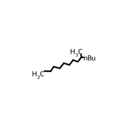 C=CCCCCCCCC(C)CCCC